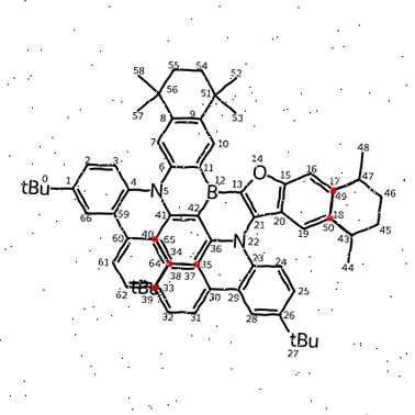 CC(C)(C)c1ccc(N2c3cc4c(cc3B3c5oc6cc7c(cc6c5N(c5ccc(C(C)(C)C)cc5-c5ccccc5)c5cc(C(C)(C)C)cc2c53)C2(C)CCC7(C)CC2)C(C)(C)CCC4(C)C)c(-c2ccccc2)c1